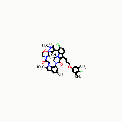 Cc1cc(N2C[C@@H](C)n3c(c(CCCOc4cc(C)c(Cl)c(C)c4)c4ccc(Cl)c(-c5c(C)nn(C)c5C)c43)C2=O)c2c(c1)cc(C(=O)O)n2CC(=O)N1CCOCC1